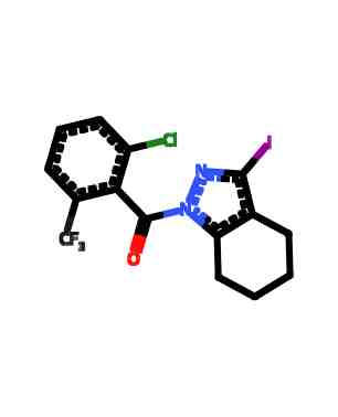 O=C(c1c(Cl)cccc1C(F)(F)F)n1nc(I)c2c1CCCC2